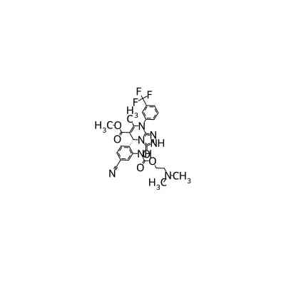 COC(=O)C1=C(C)N(c2cccc(C(F)(F)F)c2)c2n[nH]c(=O)n2[C@@H]1c1ccc(C#N)cc1NC(=O)OCCN(C)C